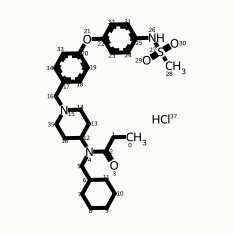 CCC(=O)N(CC1CCCCC1)C1CCN(Cc2ccc(Oc3ccc(NS(C)(=O)=O)cc3)cc2)CC1.Cl